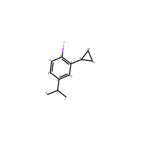 C[C](C)c1ccc(I)c(C2CC2)c1